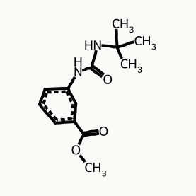 COC(=O)c1cccc(NC(=O)NC(C)(C)C)c1